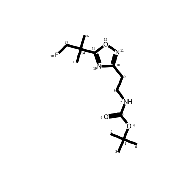 CC(C)(C)OC(=O)NCCc1noc(C(C)(C)CF)n1